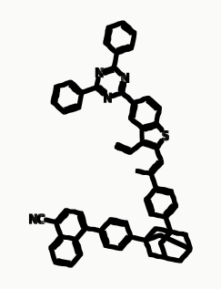 C=Cc1c(/C=C(\C)c2ccc(C34CC5CC(C3)CC(c3ccc(-c6ccc(C#N)c7ccccc67)cc3)(C5)C4)cc2)sc2ccc(-c3nc(-c4ccccc4)nc(-c4ccccc4)n3)cc12